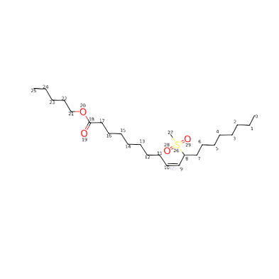 CCCCCCCCC(/C=C\CCCCCCCC(=O)OCCCCC)S(C)(=O)=O